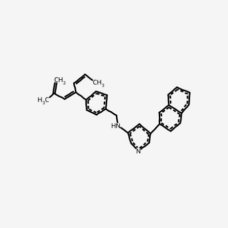 C=C(C)/C=C(\C=C/C)c1ccc(CNc2cncc(-c3ccc4ccccc4c3)c2)cc1